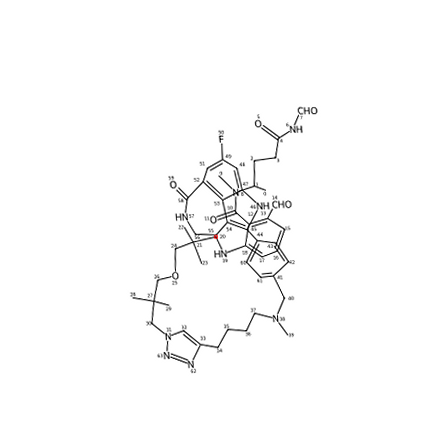 CC(CCC(=O)NC=O)N(C)C(=O)c1c(C=O)cccc1NCC(C)(C)COCC(C)(C)Cn1cc(CCCCN(C)Cc2ccc(-c3[nH]c4cc(F)cc5c4c3CCNC5=O)cc2)nn1